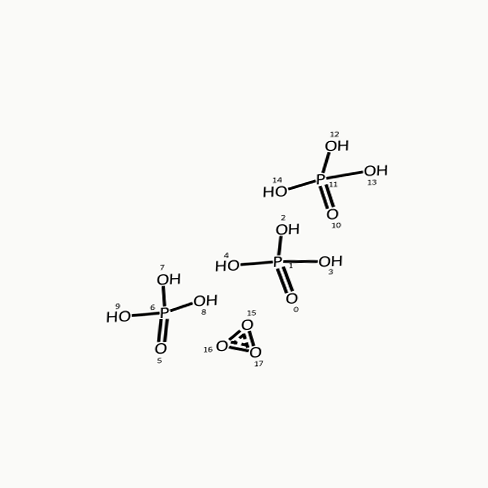 O=P(O)(O)O.O=P(O)(O)O.O=P(O)(O)O.o1oo1